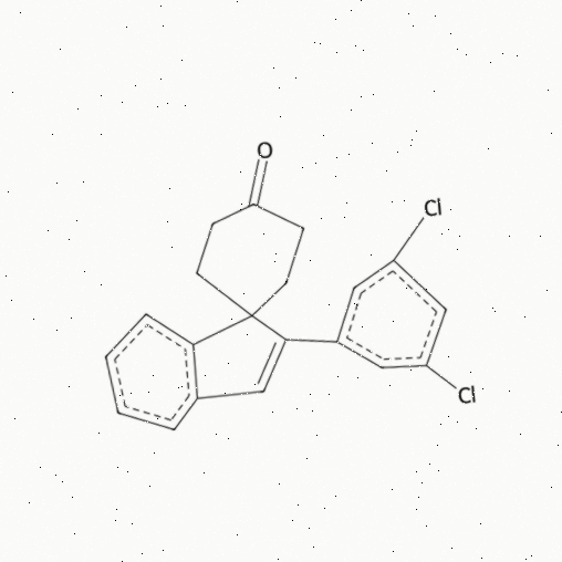 O=C1CCC2(CC1)C(c1cc(Cl)cc(Cl)c1)=Cc1ccccc12